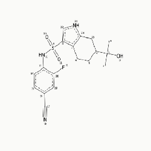 CC(C)(O)C1CCc2c(S(=O)(=O)Nc3ccc(C#N)cc3F)c[nH]c2C1